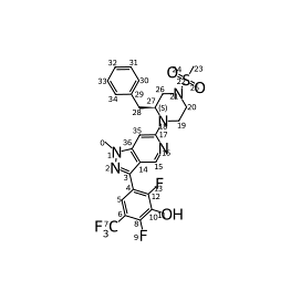 Cn1nc(-c2cc(C(F)(F)F)c(F)c(O)c2F)c2cnc(N3CCN(S(C)(=O)=O)C[C@@H]3Cc3ccccc3)cc21